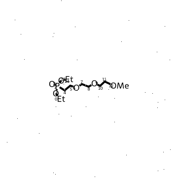 CCOP(=O)(CCOCCOCCOC)OCC